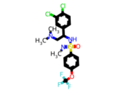 CN=S(=O)(NC(CN(C)C)c1ccc(Cl)c(Cl)c1)c1ccc(OC(F)(F)F)cc1